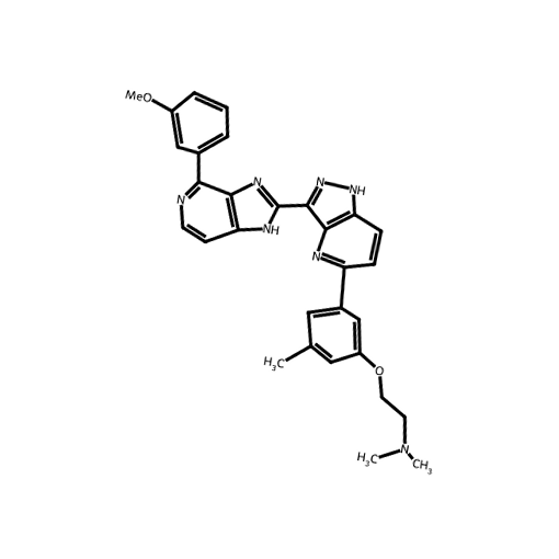 COc1cccc(-c2nccc3[nH]c(-c4n[nH]c5ccc(-c6cc(C)cc(OCCN(C)C)c6)nc45)nc23)c1